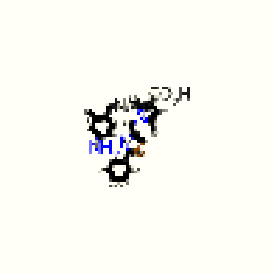 CNCc1ccc(N)cc1C.Cc1cc(C(=O)O)c(C)n1Cc1csc(-c2ccccc2)n1